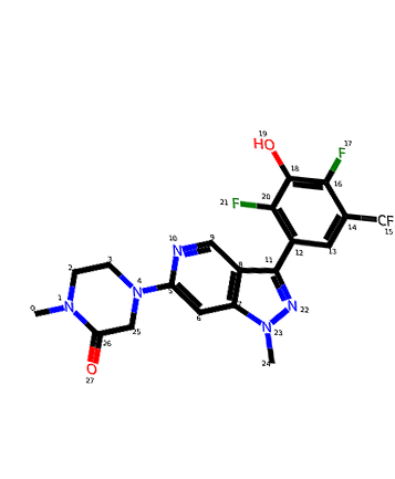 CN1CCN(c2cc3c(cn2)c(-c2cc(C(F)(F)F)c(F)c(O)c2F)nn3C)CC1=O